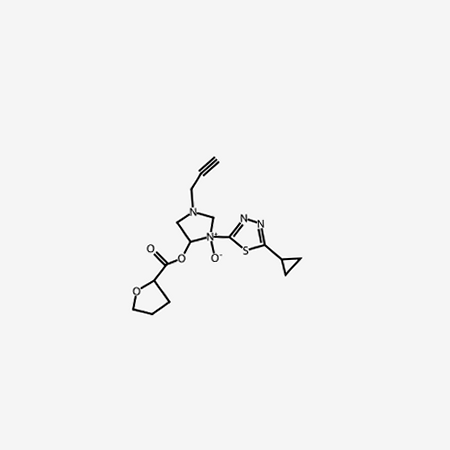 C#CCN1CC(OC(=O)C2CCCO2)[N+]([O-])(c2nnc(C3CC3)s2)C1